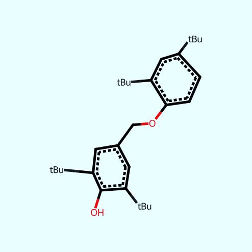 CC(C)(C)c1ccc(OCc2cc(C(C)(C)C)c(O)c(C(C)(C)C)c2)c(C(C)(C)C)c1